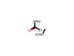 CCC(=O)NC.CNC(C)=O